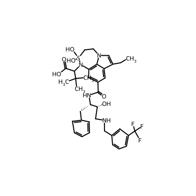 CCc1cn2c3c(cc(C(=O)N[C@@H](Cc4ccccc4)[C@H](O)CNCc4cccc(C(F)(F)F)c4)cc13)N(C(C(=O)O)C(C)(C)C)S(O)(O)CC2